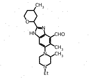 CCN1CCN(c2cc3[nH]c(C4CC(C)CCO4)nc3c(C=O)c2C)C(C)C1